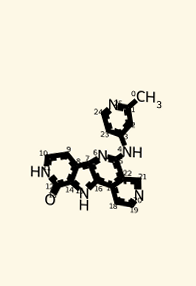 Cc1cc(Nc2nc3c4cc[nH]c(=O)c4[nH]c3c3ccncc23)ccn1